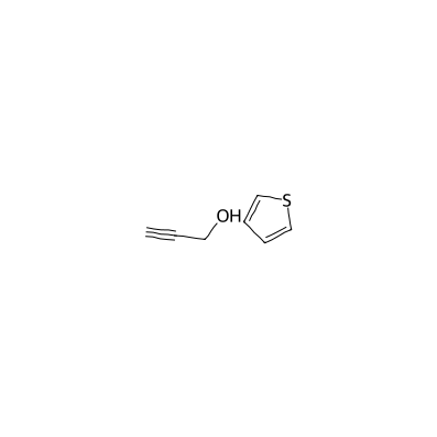 C#CCO.c1ccsc1